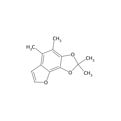 Cc1c2c(c3occc3c1C)OC(C)(C)O2